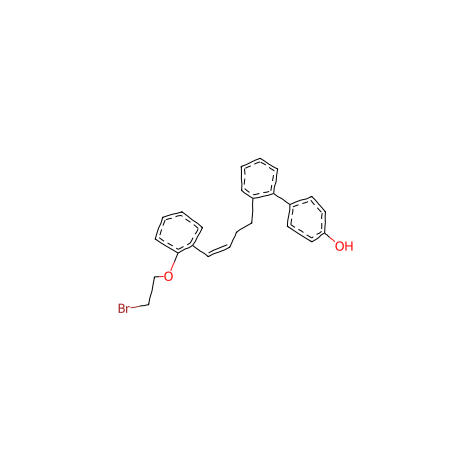 Oc1ccc(-c2ccccc2CC/C=C\c2ccccc2OCCBr)cc1